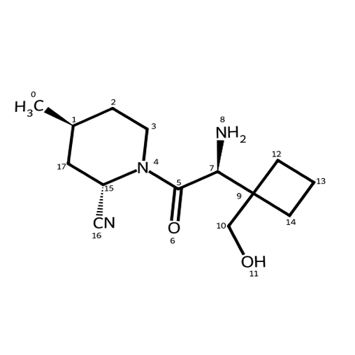 C[C@H]1CCN(C(=O)[C@@H](N)C2(CO)CCC2)[C@H](C#N)C1